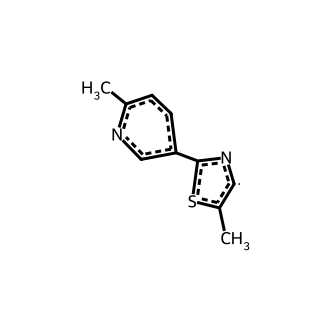 Cc1ccc(-c2n[c]c(C)s2)cn1